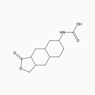 O=C(O)NC1CCC2CC3COC(=O)C3CC2C1